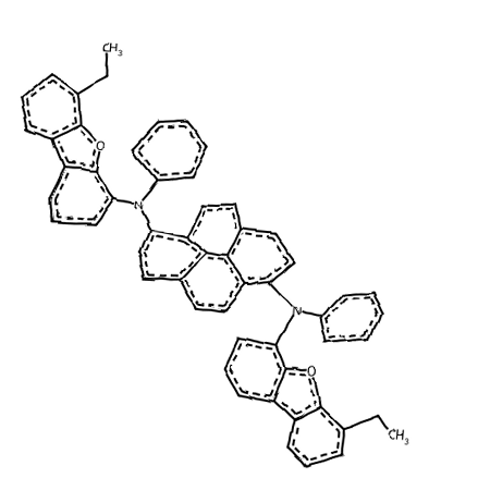 CCc1cccc2c1oc1c(N(c3ccccc3)c3ccc4ccc5c(N(c6ccccc6)c6cccc7c6oc6c(CC)cccc67)ccc6ccc3c4c65)cccc12